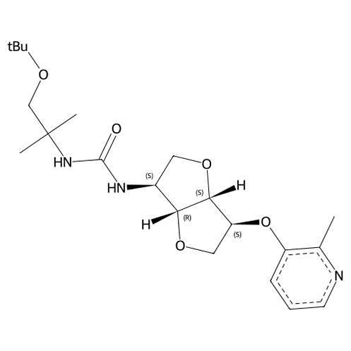 Cc1ncccc1O[C@H]1CO[C@H]2[C@@H]1OC[C@@H]2NC(=O)NC(C)(C)COC(C)(C)C